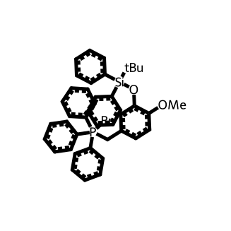 COc1ccc(CP(Br)(c2ccccc2)(c2ccccc2)c2ccccc2)cc1O[Si](c1ccccc1)(c1ccccc1)C(C)(C)C